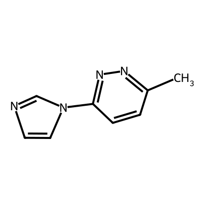 Cc1ccc(-n2ccnc2)nn1